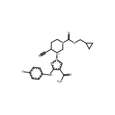 N#CC1CCN(C(=O)OCC2CC2)C[C@H]1n1cc(C(N)=O)c(Nc2ccc(F)cc2)n1